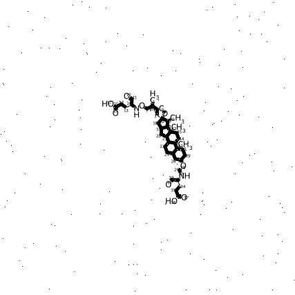 CO[C@]1(CCC(C)CON[C@@H](C=O)CCC(=O)O)CC2CC3C4CCC5CC(OCN[C@@H](C=O)CCC(=O)O)CCC5(C)C4CCC3(C)C2[C@@H]1C